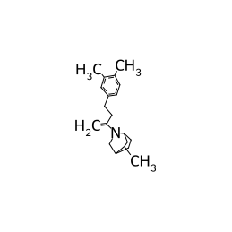 C=C(CCc1ccc(C)c(C)c1)N1CC2CCC1CC2C